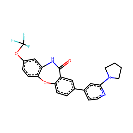 O=C1Nc2cc(OC(F)(F)F)ccc2Oc2ccc(-c3ccnc(N4CCCC4)c3)cc21